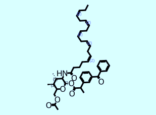 CC/C=C\C/C=C\C/C=C\C/C=C\C/C=C\CCCC(=O)NC1[C@H](OC(=O)C(C)c2cccc(C(=O)c3ccccc3)c2)OC(COC(C)=O)[C@@H](C)[C@@H]1C